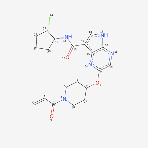 C=CC(=O)N1CCC(Oc2cnc3[nH]cc(C(=O)N[C@@H]4CCC[C@@H]4F)c3n2)CC1